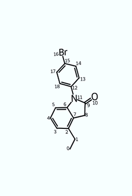 CCc1cccc2c1CC(=O)N2c1ccc(Br)cc1